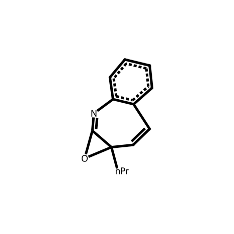 CCCC12C=Cc3ccccc3N=C1O2